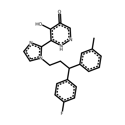 Cc1cccc(C(CCn2ccnc2-c2[nH]ncc(=O)c2O)c2ccc(F)cc2)c1